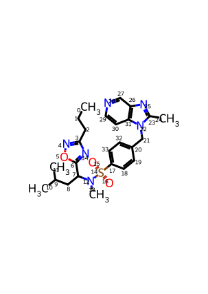 CCCc1noc(C(CC(C)C)N(C)S(=O)(=O)c2ccc(Cn3c(C)nc4cnccc43)cc2)n1